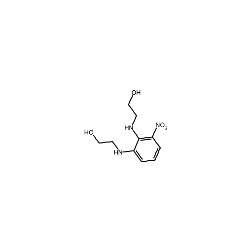 O=[N+]([O-])c1cccc(NCCO)c1NCCO